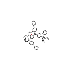 CC1(C)c2ccccc2-c2cc(N(c3ccc4c(c3)-c3cc(-c5ccccc5)ccc3C43C4CC5CC(C4)CC3C5)c3ccc(-c4ccccc4)cc3-c3ccccc3)ccc21